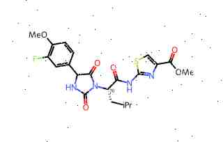 COC(=O)c1csc(NC(=O)[C@H](CC(C)C)N2C(=O)NC(c3ccc(OC)c(F)c3)C2=O)n1